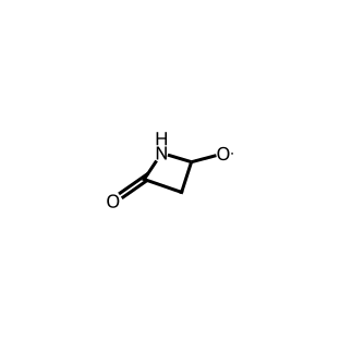 [O]C1CC(=O)N1